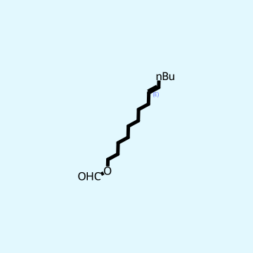 CCCC/C=C/CCCCCCCCOC=O